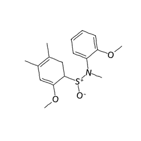 COC1=CC(C)=C(C)CC1[S+]([O-])N(C)c1ccccc1OC